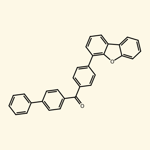 O=C(c1ccc(-c2ccccc2)cc1)c1ccc(-c2cccc3c2oc2ccccc23)cc1